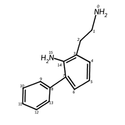 NCCc1cccc(-c2ccccc2)c1N